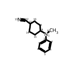 CN(c1ccccc1)C1CCC(C#N)CC1